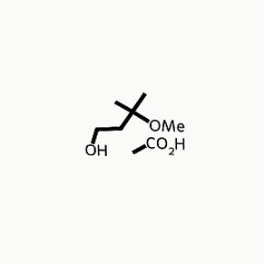 CC(=O)O.COC(C)(C)CCO